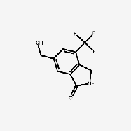 O=C1NCc2c1cc(CO)cc2C(F)(F)F